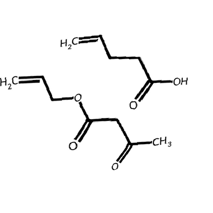 C=CCCC(=O)O.C=CCOC(=O)CC(C)=O